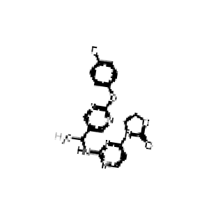 CC(Nc1nccc(N2CCOC2=O)n1)c1cnc(Oc2ccc(F)cc2)nc1